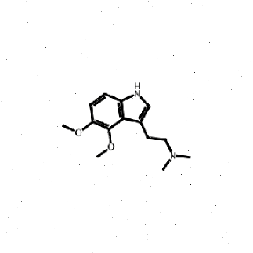 COc1ccc2[nH]cc(CCN(C)C)c2c1OC